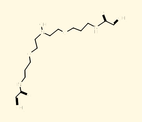 C=CC(=O)NCCCOCCN(C)CCOCCCNC(=O)C=C